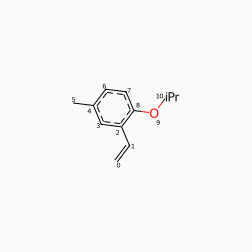 C=Cc1cc(C)ccc1OC(C)C